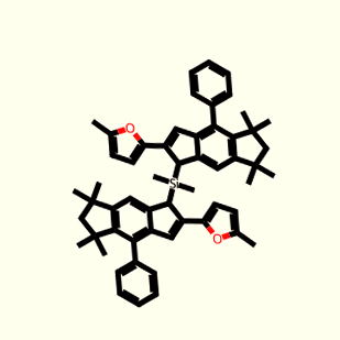 Cc1ccc(C2=Cc3c(cc4c(c3-c3ccccc3)C(C)(C)CC4(C)C)C2[Si](C)(C)C2C(c3ccc(C)o3)=Cc3c2cc2c(c3-c3ccccc3)C(C)(C)CC2(C)C)o1